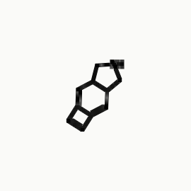 C1=CC2=CC3CNCC3C=C12